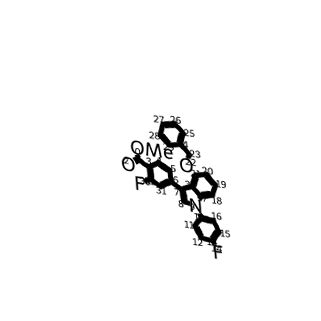 COC(=O)c1ccc(-c2cn(-c3ccc(F)cc3)c3cccc(OCc4ccccc4)c23)cc1F